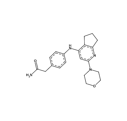 NC(=O)Cc1ccc(Nc2cc(N3CCOCC3)nc3c2CCC3)cc1